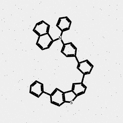 c1ccc(-c2ccc3sc4ccc(-c5cccc(-c6ccc(N(c7ccccc7)c7cccc8ccccc78)cc6)c5)cc4c3c2)cc1